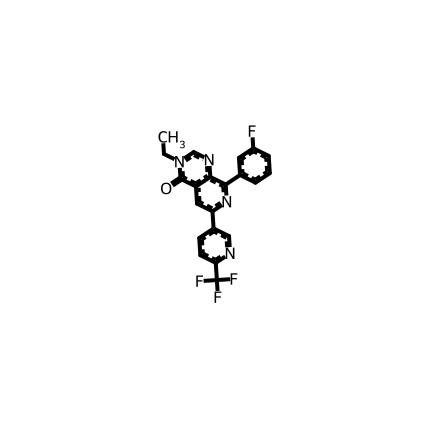 CCn1cnc2c(-c3cccc(F)c3)nc(-c3ccc(C(F)(F)F)nc3)cc2c1=O